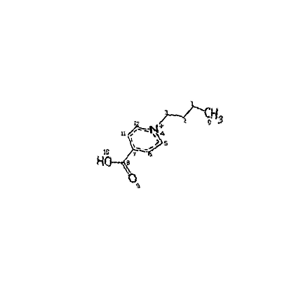 CCCC[n+]1ccc(C(=O)O)cc1